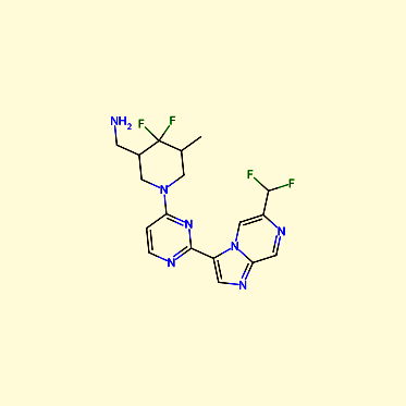 CC1CN(c2ccnc(-c3cnc4cnc(C(F)F)cn34)n2)CC(CN)C1(F)F